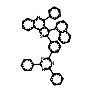 c1ccc(-c2nc(-c3ccccc3)nc(-c3cccc(-c4sc5c(c(-c6ccccc6)nc6ccccc65)c4-c4cccc5ccccc45)c3)n2)cc1